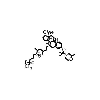 CO[C@H]1CC[C@H]2[C@@H]3[C@H](CCC(C)CC(C)[S+]([O-])CCCC(F)(F)C(F)(F)F)Cc4cc(OC(=O)N5CCOC(C)C5)ccc4[C@H]3CC[C@]12C